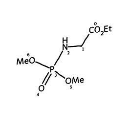 CCOC(=O)CNP(=O)(OC)OC